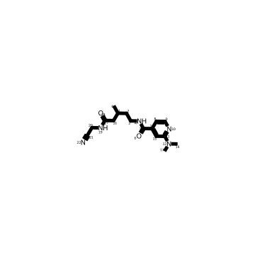 CC(CCNC(=O)c1ccnc(N(C)C)c1)CC(=O)NCC#N